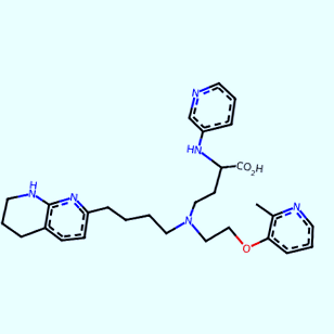 Cc1ncccc1OCCN(CCCCc1ccc2c(n1)NCCC2)CCC(Nc1cccnc1)C(=O)O